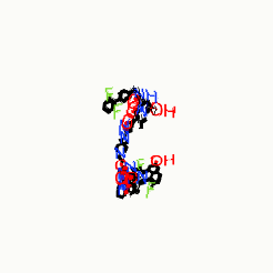 CC(C)[C@@H](C(=O)N1C[C@H](O)C[C@H]1C(=O)N[C@@H](C)c1ccc(-c2c(F)cccc2F)cc1)c1cc(N2CC3(CCN(CCOc4nc(N5CC6CCC(C5)N6C(=O)OC(C)(C)C)c5cnc(-c6cc(O)cc7ccc(F)c(C#C[Si](C(C)C)(C(C)C)C(C)C)c67)c(F)c5n4)CC3)C2)no1